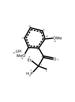 CCC(C)(P)C(=O)c1c(OC)cccc1OC.[LiH]